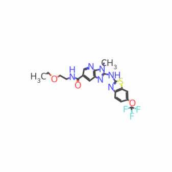 CCOCCNC(=O)c1cnc2c(c1)nc(Nc1nc3ccc(OC(F)(F)F)cc3s1)n2C